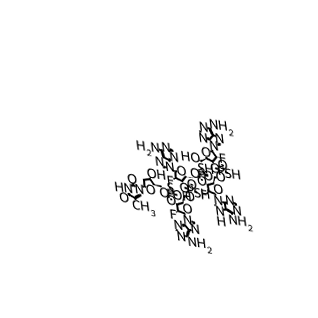 Cc1cn([C@H]2C[C@H](O)[C@@H](COP(O)(=S)O[C@H]3[C@@H](F)[C@H](n4cnc5c(N)ncnc54)O[C@@H]3COP(=O)(S)O[C@@H]3[C@@H](F)[C@H](n4cnc5c(N)ncnc54)O[C@@H]3COP(=O)(S)O[C@H]3[C@@H](F)[C@H](N4CNc5c(N)ncnc54)O[C@@H]3COP(=O)(S)O[C@@H]3[C@@H](F)[C@H](n4cnc5c(N)ncnc54)O[C@@H]3CO)O2)c(=O)[nH]c1=O